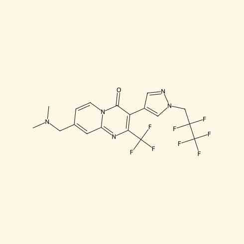 CN(C)Cc1ccn2c(=O)c(-c3cnn(CC(F)(F)C(F)(F)F)c3)c(C(F)(F)F)nc2c1